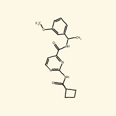 CC(NC(=O)c1ccnc(NC(=O)C2CCC2)n1)c1cccc(OC(F)(F)F)c1